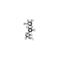 CCc1cc(Oc2c(Cl)cc(-n3ncc(=O)n(N)c3=O)cc2Cl)cn(C(C)C)c1=O